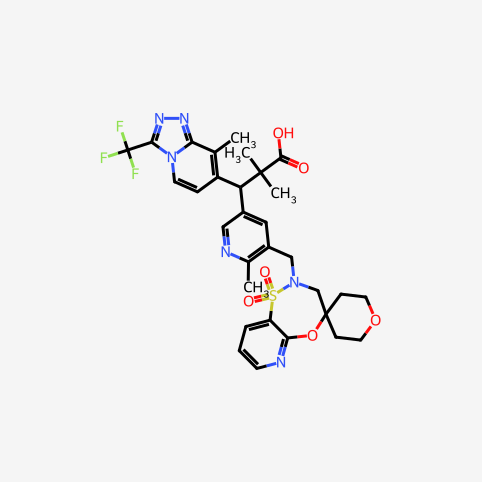 Cc1ncc(C(c2ccn3c(C(F)(F)F)nnc3c2C)C(C)(C)C(=O)O)cc1CN1CC2(CCOCC2)Oc2ncccc2S1(=O)=O